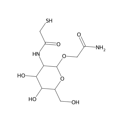 NC(=O)COC1OC(CO)C(O)C(O)C1NC(=O)CS